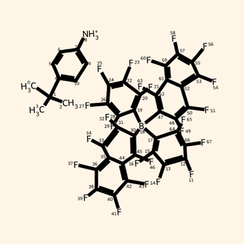 CC(C)(C)c1ccc([NH3+])cc1.Fc1c(F)c(F)c([B-](c2c(F)c(F)c(F)c(F)c2F)(c2c(F)c(F)c3c(F)c(F)c(F)c(F)c3c2F)c2c(F)c(F)c3c(F)c(F)c(F)c(F)c3c2F)c(F)c1F